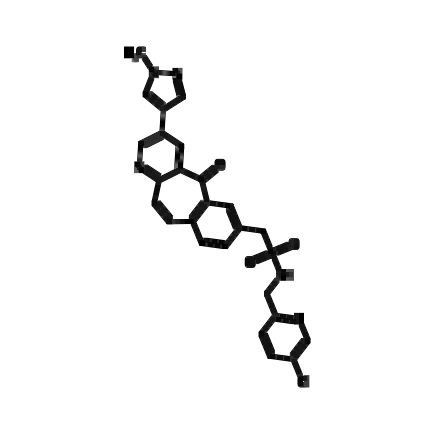 Cn1cc(-c2cnc3ccc4ccc(CS(=O)(=O)NCc5ccc(Cl)cn5)cc4c(=O)c3c2)cn1